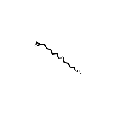 NCCCCOCCCCCCC1CO1